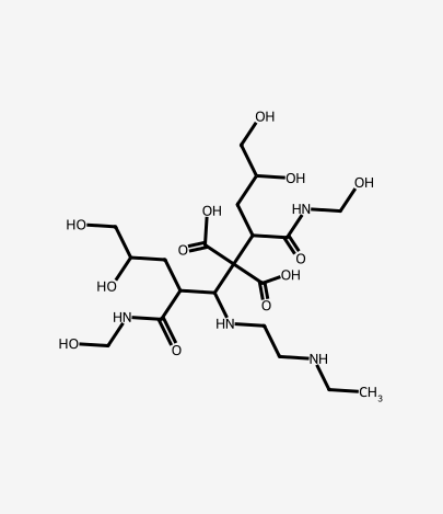 CCNCCNC(C(CC(O)CO)C(=O)NCO)C(C(=O)O)(C(=O)O)C(CC(O)CO)C(=O)NCO